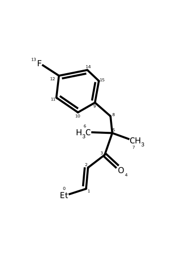 CCC=CC(=O)C(C)(C)Cc1ccc(F)cc1